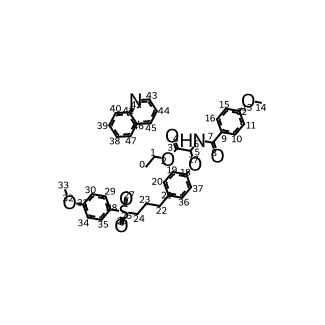 CCOC(=O)C(NC(=O)c1ccc(OC)cc1)Oc1ccc(CCCS(=O)(=O)c2ccc(OC)cc2)cc1.c1ccc2ncccc2c1